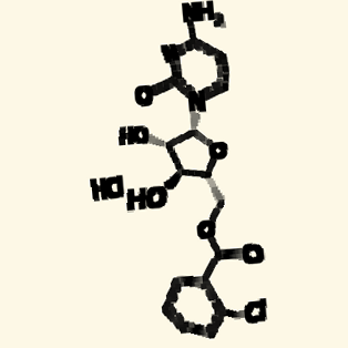 Cl.Nc1ccn([C@@H]2O[C@H](COC(=O)c3ccccc3Cl)[C@@H](O)[C@@H]2O)c(=O)n1